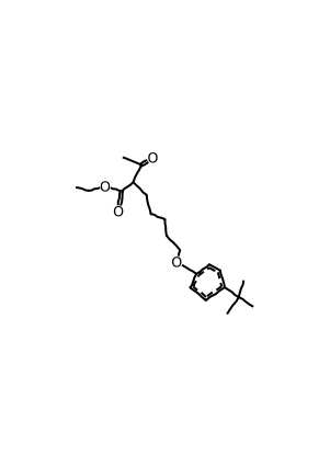 CCOC(=O)C(CCCCCOc1ccc(C(C)(C)C)cc1)C(C)=O